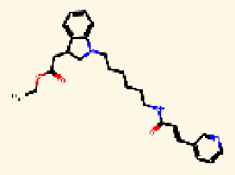 CCOC(=O)CC1CN(CCCCCCNC(=O)/C=C/c2cccnc2)c2ccccc21